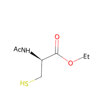 CCOC(=O)[C@@H](CS)NC(C)=O